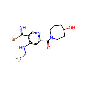 N=C(Br)c1cnc(C(=O)N2CCCC(O)CC2)cc1NCC(F)(F)F